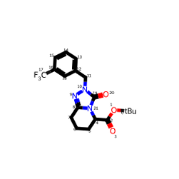 CC(C)(C)OC(=O)C1CCCc2nn(Cc3cccc(C(F)(F)F)c3)c(=O)n21